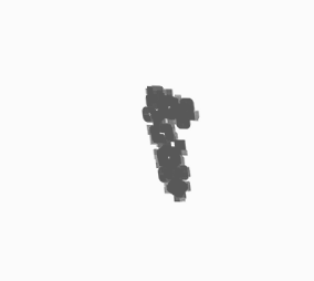 CC(C)(C)Oc1ccc(S(C)(=O)=O)cc1C(=O)N1CCN(c2ccc(S(=O)(=O)C3CCC3)cc2F)CC1